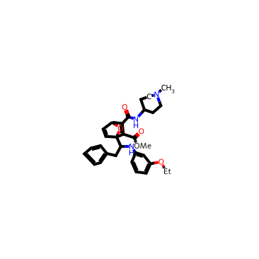 CCOc1cccc(NC(Cc2ccccc2)C23C=CC(O2)C(C(=O)NC2CCN(C)CC2)=C3C(=O)OC)c1